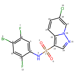 O=S(=O)(Nc1cc(F)c(Br)cc1F)c1cnn2cc(Cl)ccc12